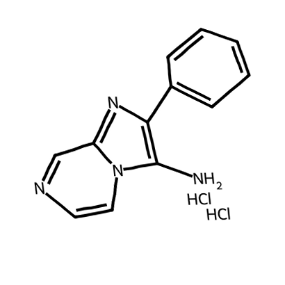 Cl.Cl.Nc1c(-c2ccccc2)nc2cnccn12